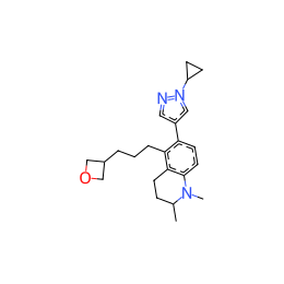 CC1CCc2c(ccc(-c3cnn(C4CC4)c3)c2CCCC2COC2)N1C